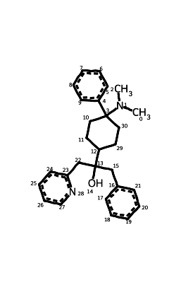 CN(C)C1(c2ccccc2)CCC(C(O)(Cc2ccccc2)Cc2ccccn2)CC1